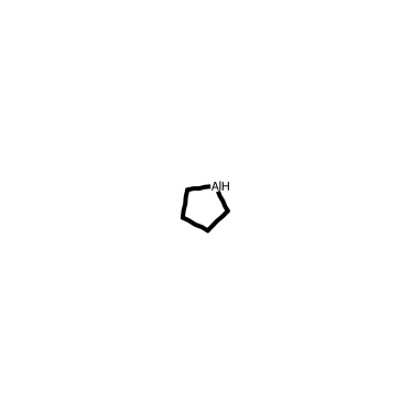 C1C[CH2][AlH][CH2]1